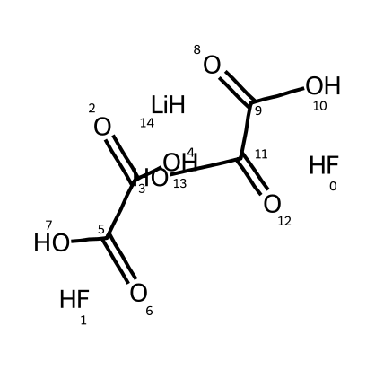 F.F.O=C(O)C(=O)O.O=C(O)C(=O)O.[LiH]